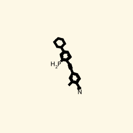 Cc1cc(C#Cc2ccc(C3CCCCC3)cc2P)ccc1C#N